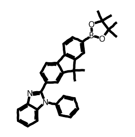 CC1(C)c2cc(B3OC(C)(C)C(C)(C)O3)ccc2-c2ccc(-c3nc4ccccc4n3-c3ccccc3)cc21